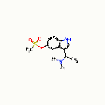 CCN(CC)C(C)c1c[nH]c2ccc(OS(=O)(=O)C(F)(F)F)cc12